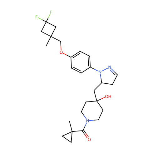 CC1(COc2ccc(N3N=CCC3CC3(O)CCN(C(=O)C4(C)CC4)CC3)cc2)CC(F)(F)C1